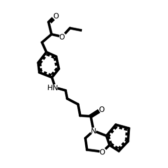 CCOC(C=O)Cc1ccc(NCCCCC(=O)N2CCOc3ccccc32)cc1